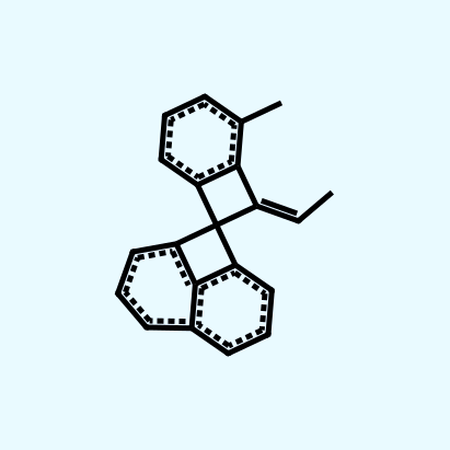 C/C=C1\c2c(C)cccc2C12c1cccc3cccc2c13